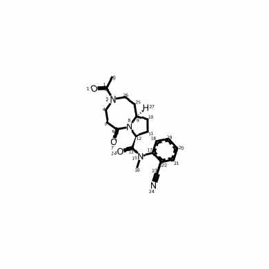 CC(=O)N1CCC(=O)N2[C@H](CC[C@H]2C(=O)N(C)c2ccccc2C#N)CC1